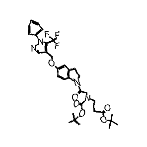 CC(C)(C)OC(=O)CCN(CC(=O)N1CCc2cc(OCc3cnn(-c4ccccc4)c3C(F)(F)F)ccc21)C(=O)OC(C)(C)C